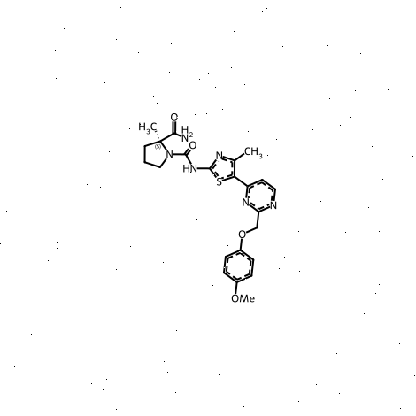 COc1ccc(OCc2nccc(-c3sc(NC(=O)N4CCC[C@@]4(C)C(N)=O)nc3C)n2)cc1